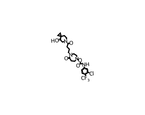 O=C(Nc1ccc(C(F)(F)F)c(Cl)c1)ON1CCC(=O)N(CCCC(=O)N2CCC3(CC3)[C@H](O)C2)CC1